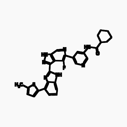 Cc1ccc(-c2cccc3[nH]c(-c4n[nH]c5cnc(-c6cncc(NC(=O)C7CCCCC7)c6)c(F)c45)nc23)s1